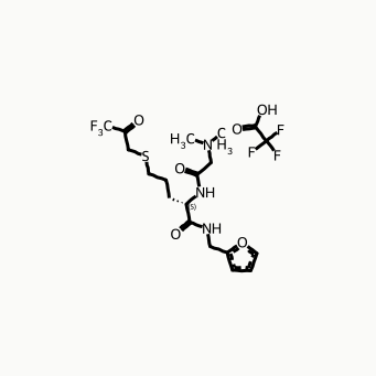 CN(C)CC(=O)N[C@@H](CCCSCC(=O)C(F)(F)F)C(=O)NCc1ccco1.O=C(O)C(F)(F)F